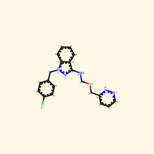 Clc1ccc(Cn2nc(NCOCc3cccnn3)c3ccccc32)cc1